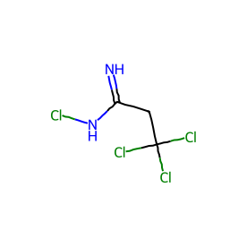 N=C(CC(Cl)(Cl)Cl)NCl